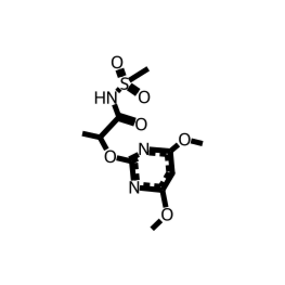 COc1cc(OC)nc(OC(C)C(=O)NS(C)(=O)=O)n1